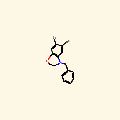 CCCc1cc2c(cc1CC)OCCN2Cc1ccccc1